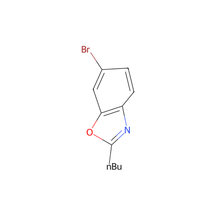 CCCCc1nc2ccc(Br)cc2o1